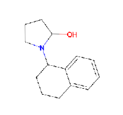 OC1CCCN1C1CCCc2ccccc21